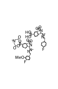 CN(/N=C/c1ccc(F)cc1)C1=NS(=O)(=O)c2cc(B(O)O)ccc21.COc1cc(/C=N/N(C)C2=NS(=O)(=O)c3cc(B4OC(=O)CN(C)CC(=O)O4)ccc32)ccc1F